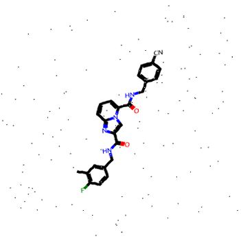 Cc1cc(CNC(=O)c2cn3c(C(=O)NCc4ccc(C#N)cc4)cccc3n2)ccc1F